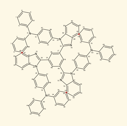 c1ccc(N(c2ccccc2)c2ccc(-n3c(-c4cc(-c5nc6ccccc6n5-c5ccc(N(c6ccccc6)c6ccccc6)cc5)cc(-c5nc6ccccc6n5-c5ccc(N(c6ccccc6)c6ccccc6)cc5)c4)nc4ccccc43)cc2)cc1